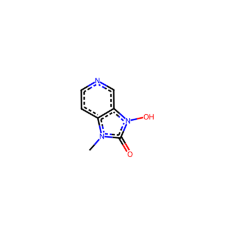 Cn1c(=O)n(O)c2cnccc21